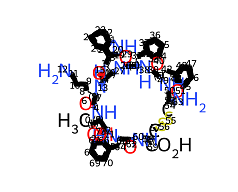 C[C@@H](O)[C@@H]1NC(=O)[C@H](CCCCN)NC(=O)[C@H](Cc2c[nH]c3ccccc23)NC(=O)[C@H](Cc2ccccc2)NC(=O)[C@H](Cc2ccccc2)NC(=O)[C@@H](N)CSSC[C@@H](C(=O)O)NC(=O)[C@H](Cc2ccccc2)NC1=O